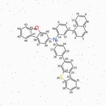 c1cc(-c2cccc3ccccc23)cc(N(c2ccc(-c3ccc4c(c3)sc3ccccc34)cc2)c2ccc3c(c2)oc2ccccc23)c1